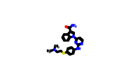 CN(C)CCSc1ccc(Nc2nccc(-n3cc(C(N)=O)c4ccccc43)n2)cc1